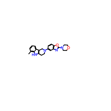 Cc1cccc2c3c([nH]c12)CCN(c1ccc2oc(N4CCOCC4)nc2c1)C3